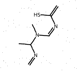 C=NC(C)N(C)/C=N\C(=C)S